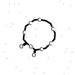 O=C1CCCCCCCCCCCCCCC(=O)O1